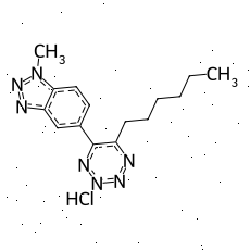 CCCCCCc1nnnnc1-c1ccc2c(c1)nnn2C.Cl